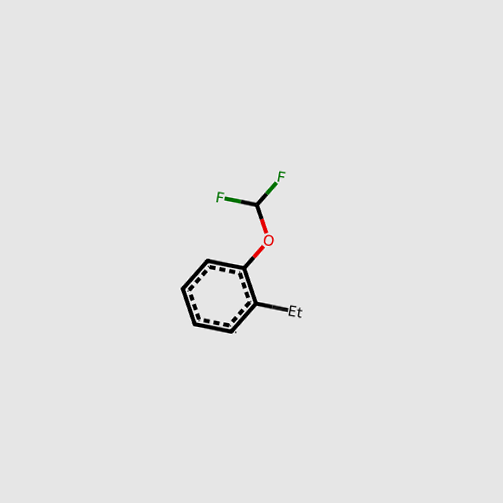 CCc1[c]cccc1OC(F)F